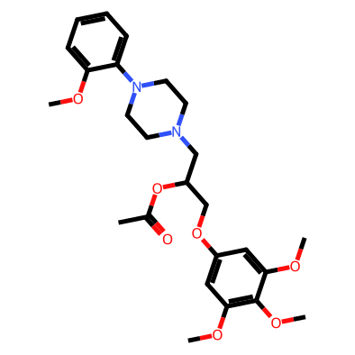 COc1ccccc1N1CCN(CC(COc2cc(OC)c(OC)c(OC)c2)OC(C)=O)CC1